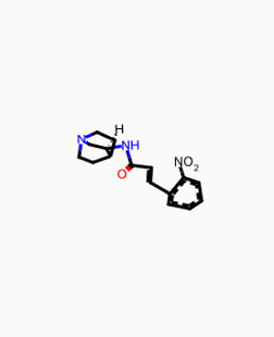 O=C(/C=C/c1ccccc1[N+](=O)[O-])N[C@@H]1CN2CCC1CC2